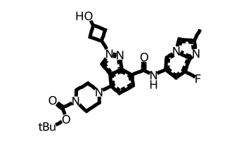 Cc1cn2cc(NC(=O)c3ccc(N4CCN(C(=O)OC(C)(C)C)CC4)c4cn(C5CC(O)C5)nc34)cc(F)c2n1